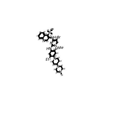 CCc1cc(Nc2ncc(Br)c(Nc3cnc4ccccc4c3P(C)(C)=O)n2)c(OC)cc1N1CCC(N2CCN(C)CC2)CC1